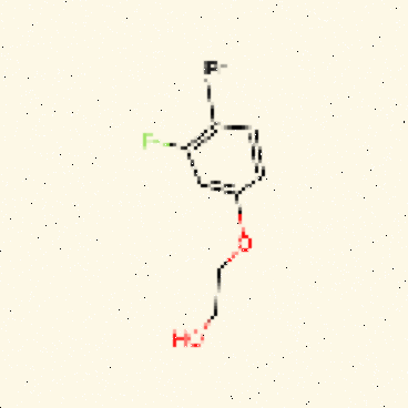 CC(C)c1ccc(OCCO)cc1F